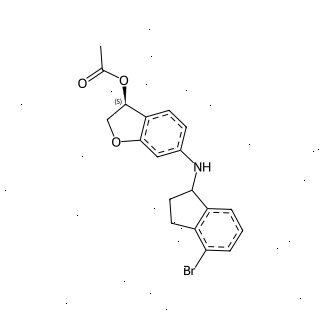 CC(=O)O[C@@H]1COc2cc(NC3CCc4c(Br)cccc43)ccc21